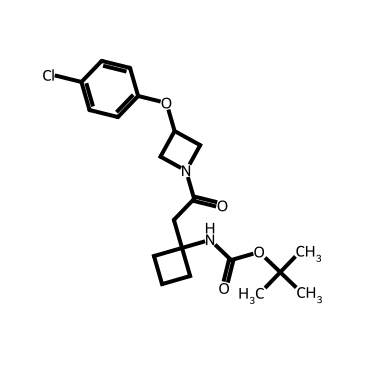 CC(C)(C)OC(=O)NC1(CC(=O)N2CC(Oc3ccc(Cl)cc3)C2)CCC1